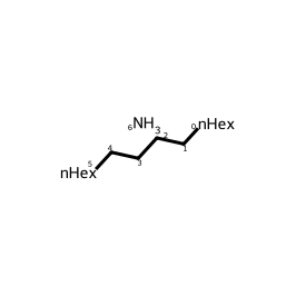 CCCCCCCCCCCCCCCC.N